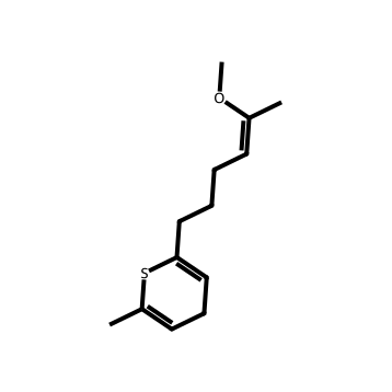 CO/C(C)=C\CCCC1=CCC=C(C)S1